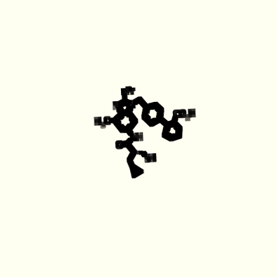 CCCc1nc2c(C)cc(NC(=O)[C@H](CS)CC3CC3)cc2n1Cc1ccc(-c2ccccc2C(=O)O)cc1